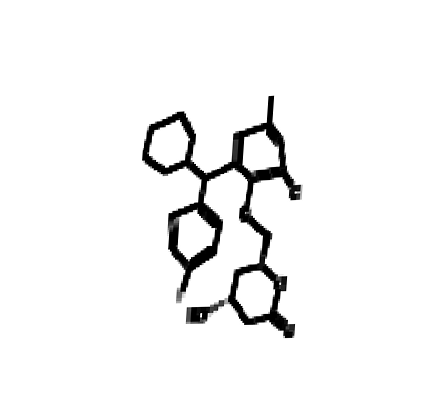 Cc1cc(Cl)c(OC[C@@H]2C[C@@H](O)CC(=O)O2)c(C(c2ccc(F)cc2)C2CCCCC2)c1